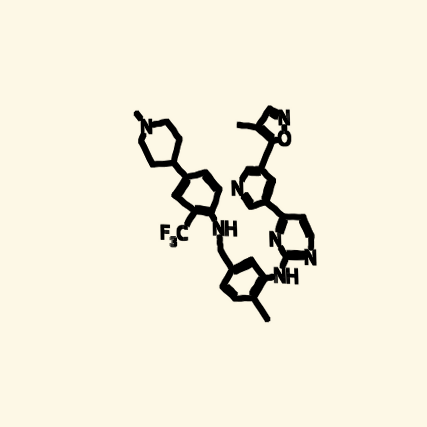 Cc1ccc(CNc2ccc(C3CCN(C)CC3)cc2C(F)(F)F)cc1Nc1nccc(-c2cncc(-c3oncc3C)c2)n1